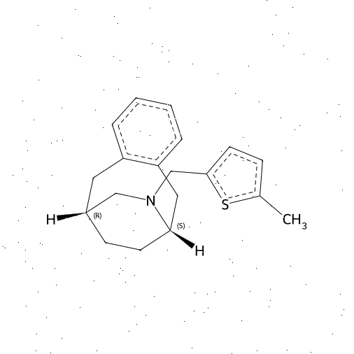 Cc1ccc(CN2C[C@@H]3CC[C@H]2Cc2ccccc2C3)s1